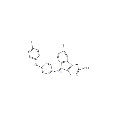 CC1=C(CC(=O)O)c2cc(I)ccc2/C1=C\c1ccc(Oc2ccc(F)cc2)cc1